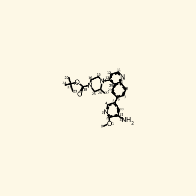 COc1ncc(-c2ccc3nccc(N4CCN(C(=O)OC(C)(C)C)CC4C)c3c2)cc1N